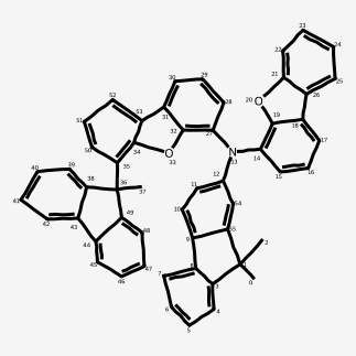 CC1(C)c2ccccc2-c2ccc(N(c3cccc4c3oc3ccccc34)c3cccc4c3oc3c(C5(C)c6ccccc6-c6ccccc65)cccc34)cc21